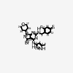 Cc1cc(Nc2nc(NCc3ccc(F)cc3F)nc3c2c(Br)nn3C2CCOCC2)n[nH]1